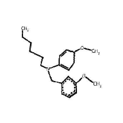 CCCCCCN(Cc1cccc(OC)c1)C1=CCC(OC)C=C1